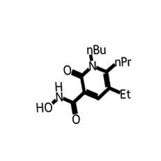 CCCCn1c(CCC)c(CC)cc(C(=O)NO)c1=O